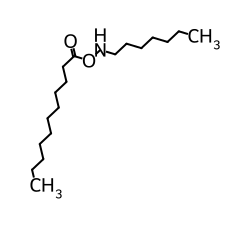 CCCCCCCCCCC(=O)ONCCCCCCC